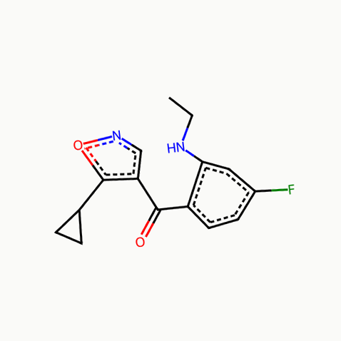 CCNc1cc(F)ccc1C(=O)c1cnoc1C1CC1